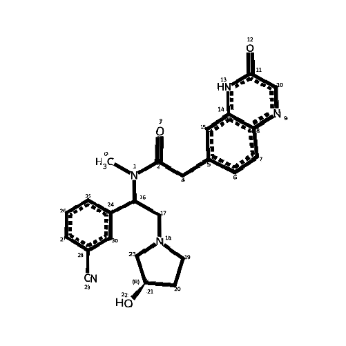 CN(C(=O)Cc1ccc2ncc(=O)[nH]c2c1)C(CN1CC[C@@H](O)C1)c1cccc(C#N)c1